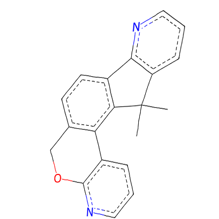 CC1(C)c2cccnc2-c2ccc3c(c21)-c1cccnc1OC3